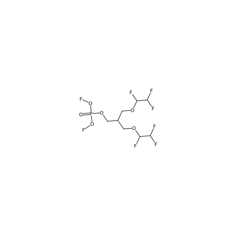 O=P(OF)(OF)OCC(COC(F)C(F)F)COC(F)C(F)F